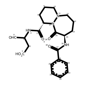 O=CC(CC(=O)O)NC(=O)[C@@H]1CCCN2CCC[C@@H](NC(=O)c3ccccc3)C(=O)N12